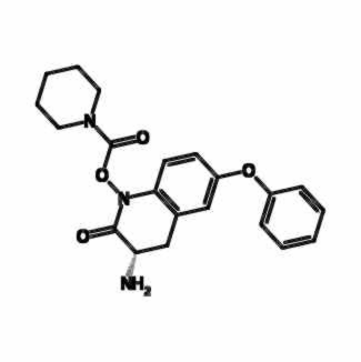 N[C@H]1Cc2cc(Oc3ccccc3)ccc2N(OC(=O)N2CCCCC2)C1=O